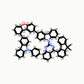 CC1(C)c2ccccc2-c2c(-c3nc(-n4c5ccccc5c5cc(-c6ccc7oc8cccc(-c9ccc%10c(c9)c9ccccc9n%10-c9ccccc9)c8c7c6)ccc54)nc4ccccc34)cccc21